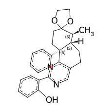 C[C@H]1[C@@H]2CCc3cnc(-c4ccccc4O)nc3[C@@]2(c2ccccc2)CCC12OCCO2